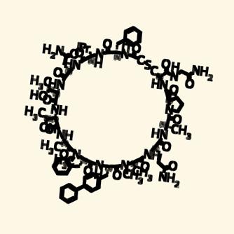 CC(C)[C@@H]1NC(=O)[C@H](Cc2ccccc2)NC(=O)CSC[C@@H](C(=O)NCC(N)=O)NC(=O)[C@@H]2CCCN2C(=O)[C@H](C)NC(=O)[C@H](CCC(N)=O)NC(=O)[C@H](C)N(C)C(=O)[C@H](Cc2ccc(-c3ccccc3)cc2)NC(=O)[C@H](Cc2ccccc2)N(C)C(=O)[C@H](C)NC(=O)[C@H]([C@@H](C)O)NC(=O)[C@H]([C@@H](C)O)NC(=O)[C@H](CC(N)=O)NC1=O